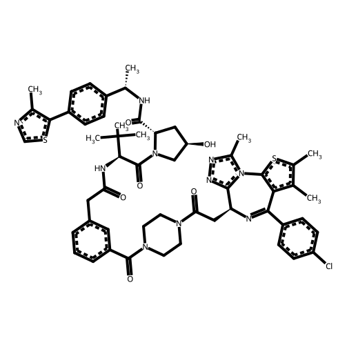 Cc1ncsc1-c1ccc([C@H](C)NC(=O)[C@@H]2C[C@@H](O)CN2C(=O)[C@@H](NC(=O)Cc2cccc(C(=O)N3CCN(C(=O)C[C@@H]4N=C(c5ccc(Cl)cc5)c5c(sc(C)c5C)-n5c(C)nnc54)CC3)c2)C(C)(C)C)cc1